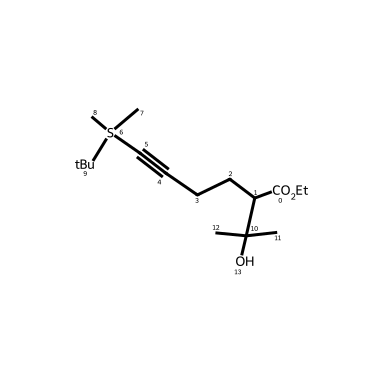 CCOC(=O)C(CCC#CS(C)(C)C(C)(C)C)C(C)(C)O